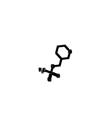 O=S(=O)(OCC1CCCOC1)C(F)(F)F